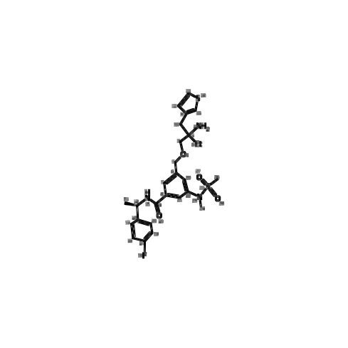 CCC(N)(COCc1cc(C(=O)N[C@H](C)c2ccc(F)cc2)cc(N(C)S(C)(=O)=O)c1)Cc1ccsc1